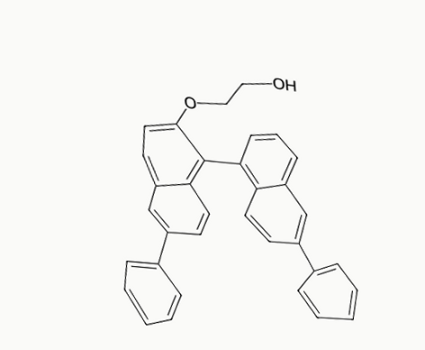 OCCOc1ccc2cc(-c3ccccc3)ccc2c1-c1cccc2cc(-c3ccccc3)ccc12